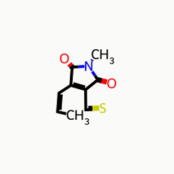 C/C=C\C1=C(C=S)C(=O)N(C)C1=O